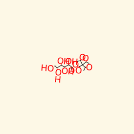 CC(=O)C(C(C)=O)(C(C)=O)C(=O)OC(=O)[C@H](O)[C@@H](O)[C@H](O)[C@H](O)CO